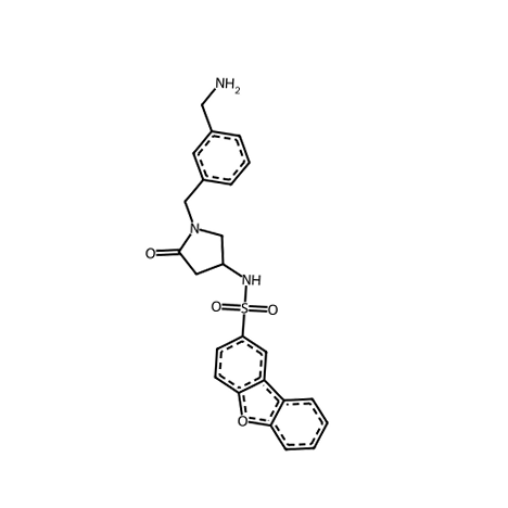 NCc1cccc(CN2CC(NS(=O)(=O)c3ccc4oc5ccccc5c4c3)CC2=O)c1